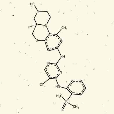 Cc1cc(Nc2ncc(Cl)c(Nc3ccccc3P(C)(C)=O)n2)cc2c1N1CCN(C)C[C@@H]1CO2